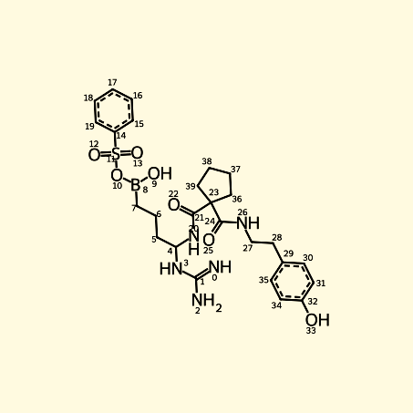 N=C(N)NC(CCCB(O)OS(=O)(=O)c1ccccc1)NC(=O)C1(C(=O)NCCc2ccc(O)cc2)CCCC1